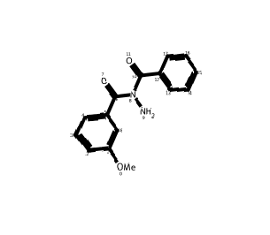 COc1cccc(C(=O)N(N)C(=O)c2ccccc2)c1